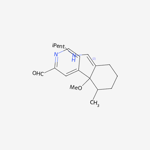 CCCC(C)N/C=C1/CCCC(C)C1(OC)c1ccnc(C=O)c1